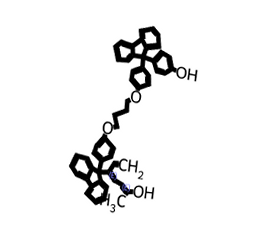 C=C/C(=C\C=C(/C)O)C1(c2ccc(OCCCCOc3ccc(C4(c5ccc(O)cc5)c5ccccc5-c5ccccc54)cc3)cc2)c2ccccc2-c2ccccc21